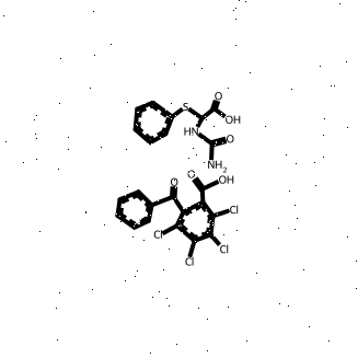 NC(=O)NC(Sc1ccccc1)C(=O)O.O=C(O)c1c(Cl)c(Cl)c(Cl)c(Cl)c1C(=O)c1ccccc1